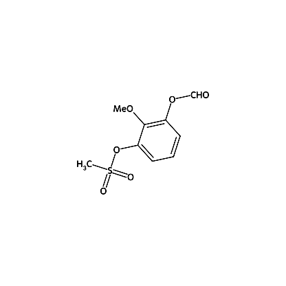 COc1c(OC=O)cccc1OS(C)(=O)=O